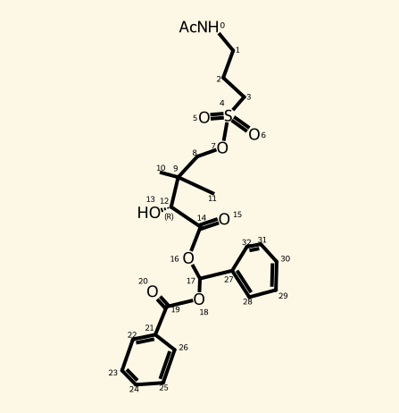 CC(=O)NCCCS(=O)(=O)OCC(C)(C)[C@@H](O)C(=O)OC(OC(=O)c1ccccc1)c1ccccc1